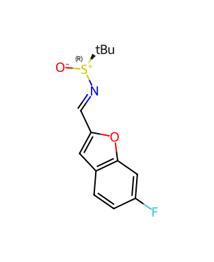 CC(C)(C)[S@+]([O-])N=Cc1cc2ccc(F)cc2o1